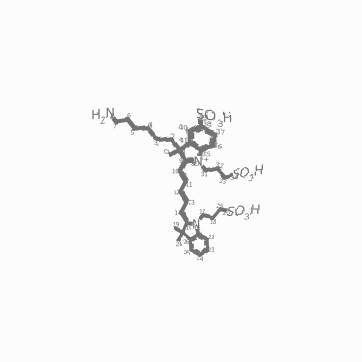 CC1(CCCCCCN)C(/C=C/C=C/C=C2\N(CCCS(=O)(=O)O)c3ccccc3C2(C)C)=[N+](CCCS(=O)(=O)O)c2ccc(S(=O)(=O)O)cc21